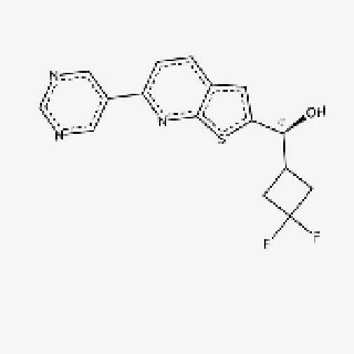 O[C@H](c1cc2ccc(-c3cncnc3)nc2s1)C1CC(F)(F)C1